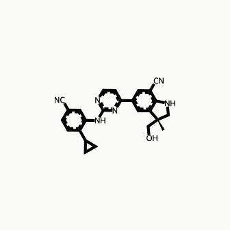 C[C@]1(CO)CNc2c(C#N)cc(-c3ccnc(Nc4cc(C#N)ccc4C4CC4)n3)cc21